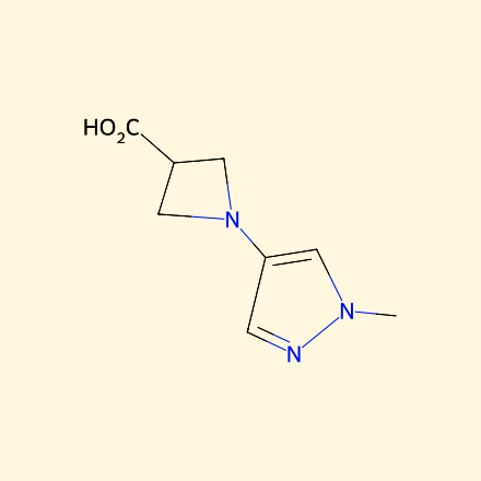 Cn1cc(N2CC(C(=O)O)C2)cn1